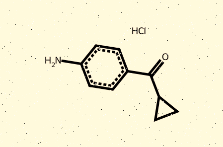 Cl.Nc1ccc(C(=O)C2CC2)cc1